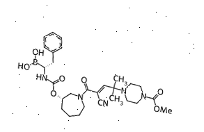 COC(=O)N1CCN(C(C)(C)/C=C(\C#N)C(=O)N2CCCC[C@H](OC(=O)N[C@@H](Cc3ccccc3)B(O)O)C2)CC1